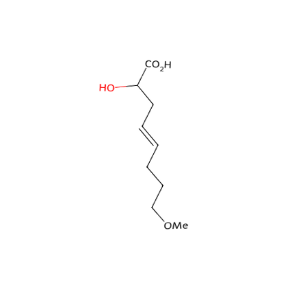 COCCCC=CCC(O)C(=O)O